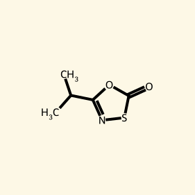 CC(C)c1nsc(=O)o1